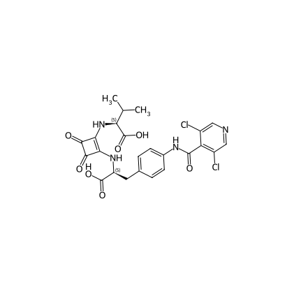 CC(C)[C@H](Nc1c(N[C@@H](Cc2ccc(NC(=O)c3c(Cl)cncc3Cl)cc2)C(=O)O)c(=O)c1=O)C(=O)O